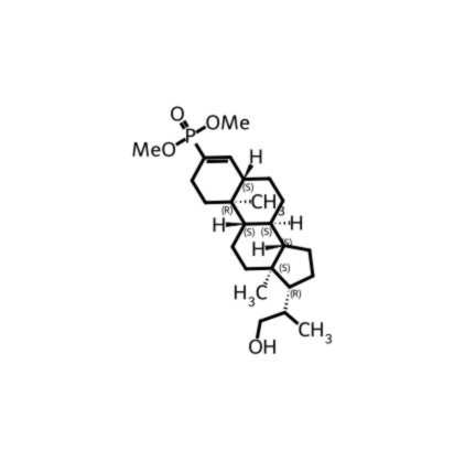 COP(=O)(OC)C1=C[C@@H]2CC[C@@H]3[C@H](CC[C@]4(C)[C@@H](C(C)CO)CC[C@@H]34)[C@@]2(C)CC1